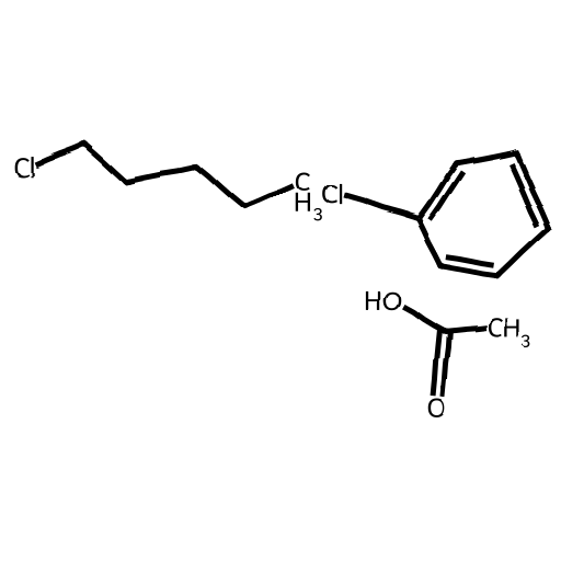 CC(=O)O.CCCCCCl.Clc1ccccc1